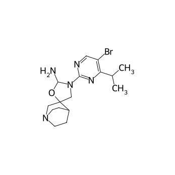 CC(C)c1nc(N2CC3(CN4CCC3CC4)OC2N)ncc1Br